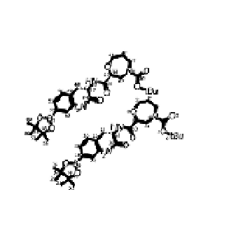 CC(C)(C)OC(=O)N1CCCOC(C(=O)N[C@@H](Cc2ccc(B3OC(C)(C)C(C)(C)O3)cc2)C(N)=O)C1.CC(C)(C)OC(=O)N1CCCO[C@H](C(=O)N[C@@H](Cc2ccc(B3OC(C)(C)C(C)(C)O3)cc2)C(N)=O)C1